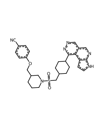 N#Cc1ccc(OCC2CCCN(S(=O)(=O)CC3CCC(c4nncc5cnc6[nH]ccc6c45)CC3)C2)cc1